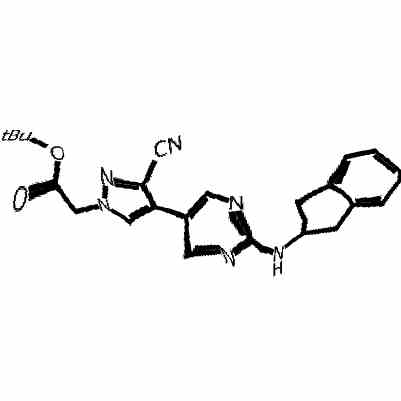 CC(C)(C)OC(=O)Cn1cc(-c2cnc(NC3Cc4ccccc4C3)nc2)c(C#N)n1